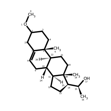 COC1CC[C@@]2(C)C(=CC[C@H]3[C@@H]4CC[C@H]([C@H](C)O)[C@@]4(C)CC[C@@H]32)C1